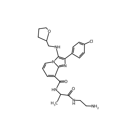 CC(NC(=O)c1cccn2c(NCC3CCCO3)c(-c3ccc(Cl)cc3)nc12)C(=O)NCCN